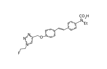 CCN(C(=O)O)c1ccc(/C=C/c2ccc(OCc3cn(CCF)nn3)cc2)cc1